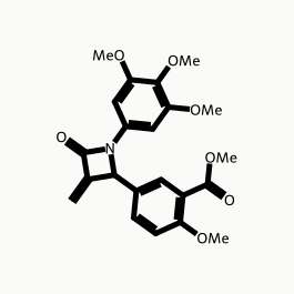 C=C1C(=O)N(c2cc(OC)c(OC)c(OC)c2)C1c1ccc(OC)c(C(=O)OC)c1